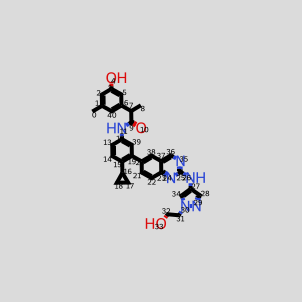 Cc1cc(O)cc(C(C)C(=O)Nc2ccc(C3CC3)c(-c3ccc4nc(Nc5cnn(CCO)c5)ncc4c3)c2)c1